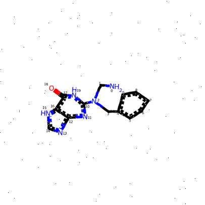 NCN(Cc1ccccc1)c1nc2nc[nH]c2c(=O)[nH]1